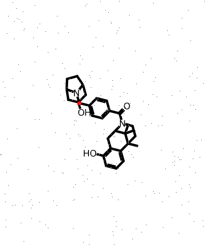 CC12CCN(C(=O)c3ccc(CN4C5CCC4CC(O)C5)cc3)C(Cc3c(O)cccc31)C2(C)C